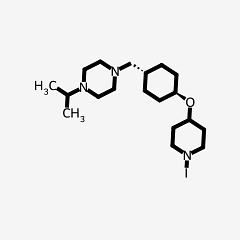 CC(C)N1CCN(C[C@H]2CC[C@H](OC3CCN(I)CC3)CC2)CC1